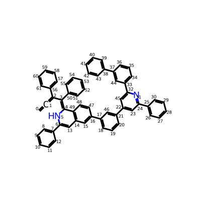 C=C=C(/C(=C1\NC(c2ccccc2)=Cc2cc(-c3cccc(-c4cc(-c5ccccc5)nc(-c5cccc(-c6ccccc6)c5)c4)c3)ccc21)c1ccccc1)c1ccccc1